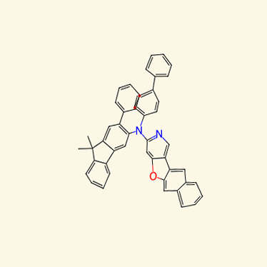 CC1(C)c2ccccc2-c2cc(N(c3ccc(-c4ccccc4)cc3)c3cc4oc5cc6ccccc6cc5c4cn3)c(-c3ccccc3)cc21